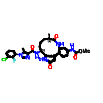 COC(=O)Nc1ccc2c(c1)NC(=O)[C@H](C)CCC[C@H](NC(=O)c1ncn(-c3cccc(Cl)c3F)c1C)c1cc-2cc(=O)[nH]1